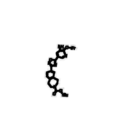 CC(C)Oc1ncc(-c2nc(-c3ccc4c(c3)CCN(C(=O)OC(C)(C)C)CC4)no2)cc1N